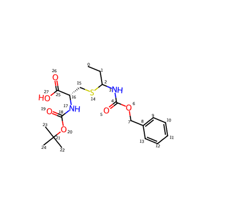 CCC(NC(=O)OCc1ccccc1)SC[C@H](NC(=O)OC(C)(C)C)C(=O)O